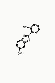 COc1ccc2nc(-c3ccccc3C#N)sc2c1